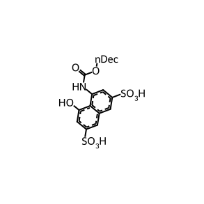 CCCCCCCCCCOC(=O)Nc1cc(S(=O)(=O)O)cc2cc(S(=O)(=O)O)cc(O)c12